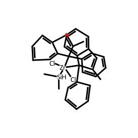 CC1=Cc2ccccc2[C]1(c1ccccc1)[Zr]([Cl])([Cl])([SiH](C)C)[C]1(c2ccccc2)C(C)=Cc2ccccc21